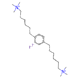 C[N+](C)(C)CCCCCCc1ccc(CCCCCC[N+](C)(C)C)cc1.[I-].[I-]